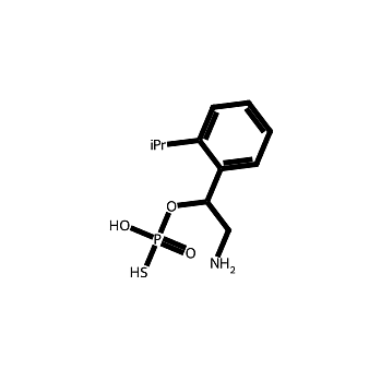 CC(C)c1ccccc1C(CN)OP(=O)(O)S